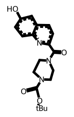 CC(C)(C)OC(=O)N1CCN(C(=O)c2ccc3cc(O)ccc3n2)CC1